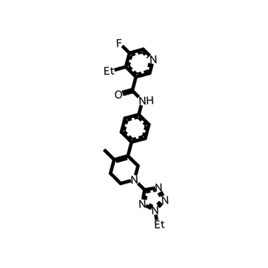 CCc1c(F)cncc1C(=O)Nc1ccc(C2=C(C)CCN(c3nnn(CC)n3)C2)cc1